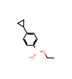 CCOB(O)c1ccc(C2CC2)cc1